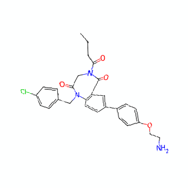 CCCC(=O)N1CC(=O)N(Cc2ccc(Cl)cc2)c2ccc(-c3ccc(OCCN)cc3)cc2C1=O